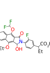 CCOc1c2c(c(OC(F)F)c3ccccc13)C(=O)N(c1ccc(C(CC)C(=O)O)cc1F)C2O